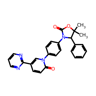 CC1(C)OC(=O)N(c2ccc(-n3cc(-c4ncccn4)ccc3=O)cc2)C1c1ccccc1